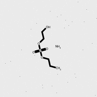 CCCOS(=O)(=O)OCCO.N